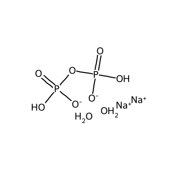 O.O.O=P([O-])(O)OP(=O)([O-])O.[Na+].[Na+]